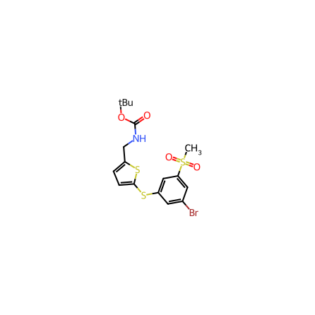 CC(C)(C)OC(=O)NCc1ccc(Sc2cc(Br)cc(S(C)(=O)=O)c2)s1